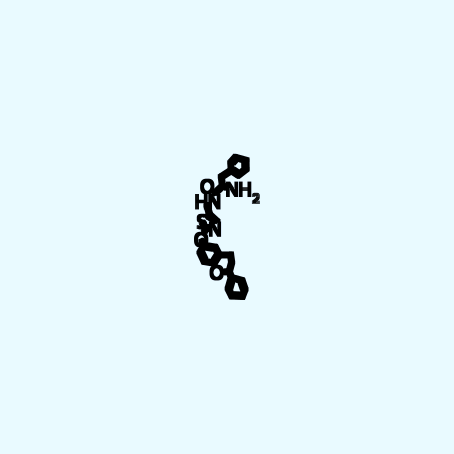 NC(Cc1ccccc1)C(=O)NCc1cnc(Oc2ccc3c(c2)CCC(c2ccccc2)O3)s1